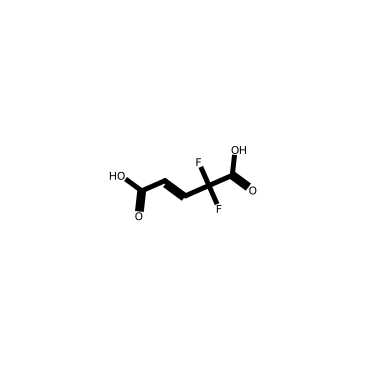 O=C(O)/C=C/C(F)(F)C(=O)O